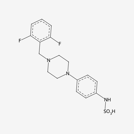 O=S(=O)(O)Nc1ccc(N2CCN(Cc3c(F)cccc3F)CC2)cc1